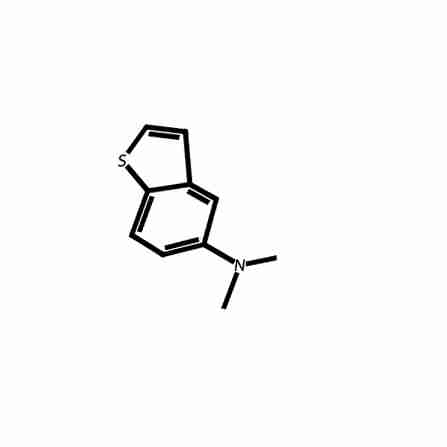 CN(C)c1ccc2sccc2c1